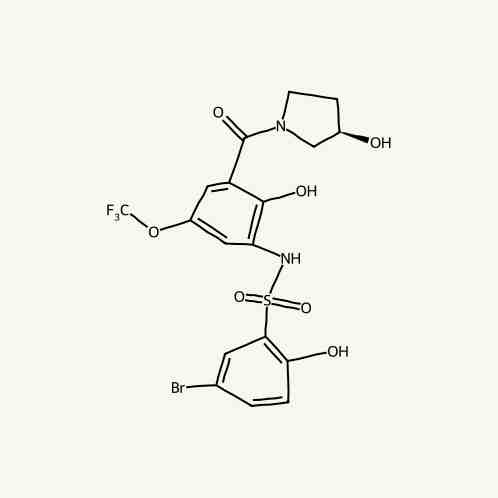 O=C(c1cc(OC(F)(F)F)cc(NS(=O)(=O)c2cc(Br)ccc2O)c1O)N1CC[C@@H](O)C1